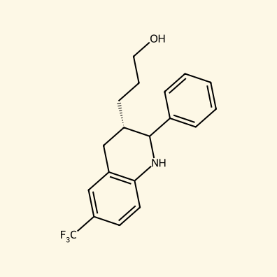 OCCC[C@H]1Cc2cc(C(F)(F)F)ccc2NC1c1ccccc1